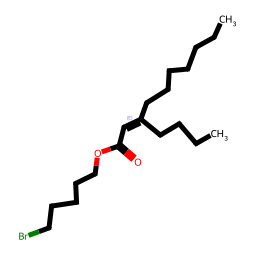 CCCCCCC/C(=C/C(=O)OCCCCCBr)CCCC